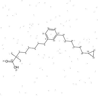 CC(C)(CCCCCCc1cccc(CCCCCCC2CC2)c1)C(=O)O